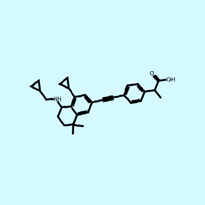 CC(C(=O)O)c1ccc(C#Cc2cc(C3CC3)c3c(c2)C(C)(C)CCC3NCC2CC2)cc1